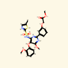 COC(=O)COc1cccc(-c2nc(NS(=O)(=O)c3ncc(C)s3)c(Oc3ccccc3OC)c(OC)n2)c1